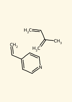 C=CC(=C)C.C=Cc1ccncc1